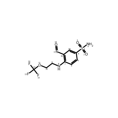 NS(=O)(=O)c1ccc(NCCOC(F)(F)F)c(N=O)c1